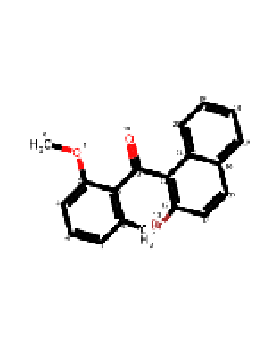 COc1cccc(C)c1C(=O)c1c(Br)ccc2ccccc12